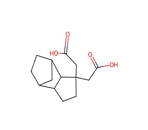 O=C(O)CC1(CC(=O)O)CCC2C3CCC(C3)C21